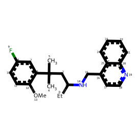 CCC(CC(C)(C)c1cc(F)ccc1OC)NCc1ccnc2ccccc12